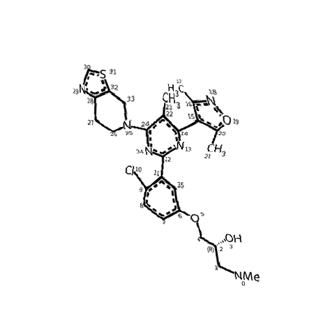 CNC[C@@H](O)COc1ccc(Cl)c(-c2nc(-c3c(C)noc3C)c(C)c(N3CCc4ncsc4C3)n2)c1